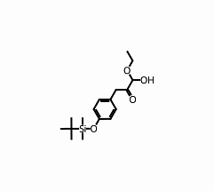 CCOC(O)C(=O)Cc1ccc(O[Si](C)(C)C(C)(C)C)cc1